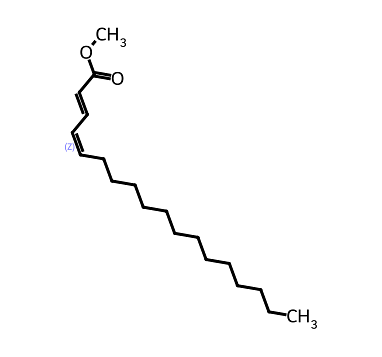 CCCCCCCCCCCCC/C=C\C=CC(=O)OC